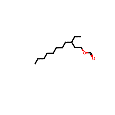 CCCCCCCCC(CC)CCOC=O